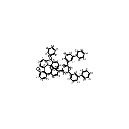 C1=CC2C(c3ccccc3N2c2ccccc2)c2c1oc1cccc(-c3ccc(-c4nc(-c5cccc(-c6ccccc6)c5)nc(-c5cccc(-c6ccccc6)c5)n4)cc3)c21